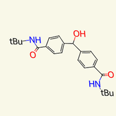 CC(C)(C)NC(=O)c1ccc(C(O)c2ccc(C(=O)NC(C)(C)C)cc2)cc1